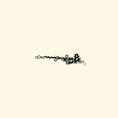 CCCCCCCCCCCCCCCCCC(=O)OCCSCC(N)C(=O)NCCCn1c(CNCC)nc2c(N)nc3ccccc3c21